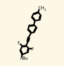 CCCCc1cc(F)c(C#Cc2ccc(-c3ccc(C)cc3)cc2)c(F)c1